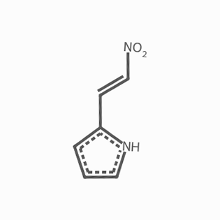 O=[N+]([O-])C=Cc1ccc[nH]1